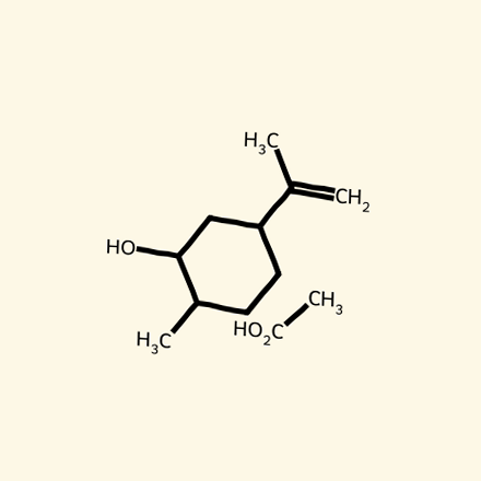 C=C(C)C1CCC(C)C(O)C1.CC(=O)O